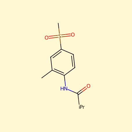 Cc1cc(S(C)(=O)=O)ccc1NC(=O)C(C)C